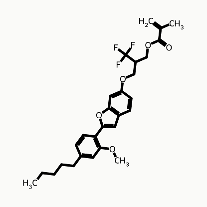 C=C(C)C(=O)OCC(COc1ccc2cc(-c3ccc(CCCCC)cc3OC)oc2c1)C(F)(F)F